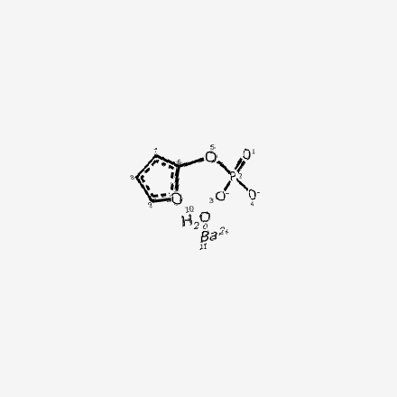 O.O=P([O-])([O-])Oc1ccco1.[Ba+2]